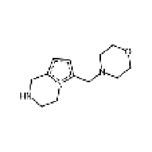 c1cc(CN2CCOCC2)n2c1CNCC2